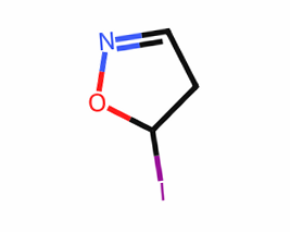 IC1CC=NO1